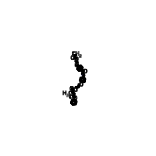 C=CC(=O)OCCOc1ccc(C(=O)/C=C/c2ccc(OCCCOC(=O)C(=C)CC(=O)OC3CCCCC3)cc2)cc1